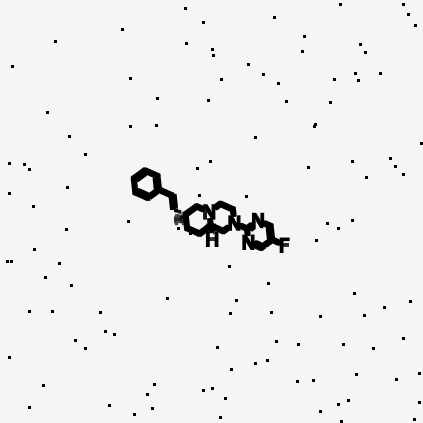 Fc1cnc(N2CCN3C[C@@H](C=Cc4ccccc4)CC[C@H]3C2)nc1